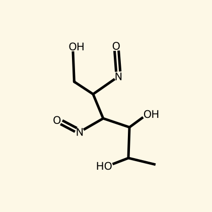 CC(O)C(O)C(N=O)C(CO)N=O